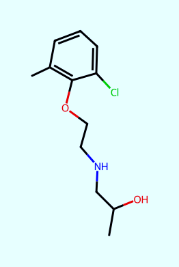 Cc1cccc(Cl)c1OCCNCC(C)O